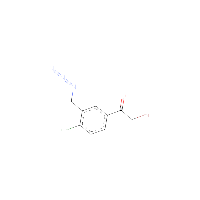 [N-]=[N+]=NCc1cc(C(=O)CBr)ccc1Cl